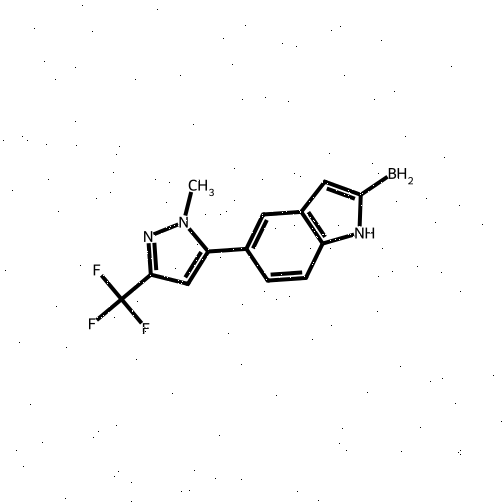 Bc1cc2cc(-c3cc(C(F)(F)F)nn3C)ccc2[nH]1